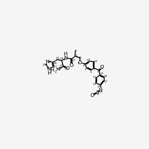 CC(COc1ccc(C(=O)c2ccc(N=C=O)cc2)cc1)C(=O)NC(Cc1c[nH]cn1)C(N)=O